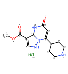 COC(=O)C1=CNN2C(C3CCNCC3)=CC(=O)NC12.Cl